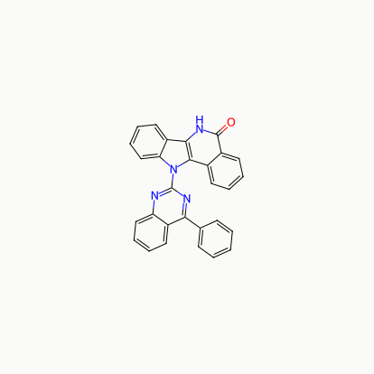 O=c1[nH]c2c3ccccc3n(-c3nc(-c4ccccc4)c4ccccc4n3)c2c2ccccc12